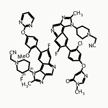 COc1cc(Oc2ncccn2)ccc1-c1cc2c(cc1F)ncc1nc(C)n([C@@H]3CCN(CC#N)C[C@H]3F)c12.Cc1nc2cnc3cc(F)c(-c4ccc(Oc5cc(=O)n(C)cn5)cc4Cl)cc3c2n1C1CCN(CC#N)CC1